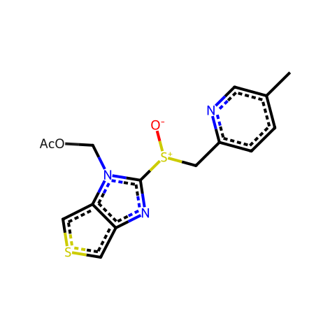 CC(=O)OCn1c([S+]([O-])Cc2ccc(C)cn2)nc2cscc21